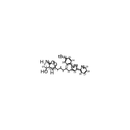 CC(O)C(NC(=O)CCCCCc1cc(-c2ccccn2)nn1-c1ccc(C(C)(C)C)cc1)C(N)=O